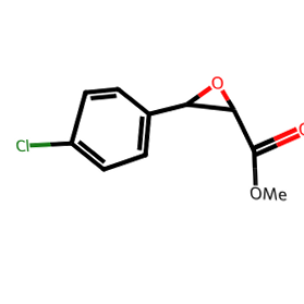 COC(=O)C1OC1c1ccc(Cl)cc1